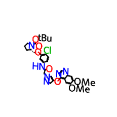 COc1cc2ncnc(Oc3cnn(CC(=O)Nc4ccc(Cl)c(OC[C@@H]5CCCN5C(=O)OC(C)(C)C)c4)c3)c2cc1OC